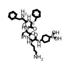 CC(C)C[C@@H](NC(=O)[C@@H](Cc1ccccc1)NC(=O)[C@H](N)Cc1ccccc1)C(=O)N[C@H](CCCCN)C(=O)NC1CCC(B(O)O)CC1